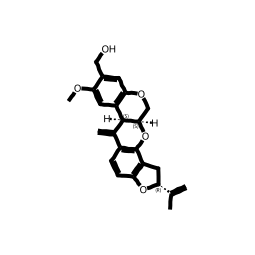 C=C(C)[C@H]1Cc2c(ccc3c2O[C@@H]2COc4cc(CO)c(OC)cc4[C@@H]2C3=C)O1